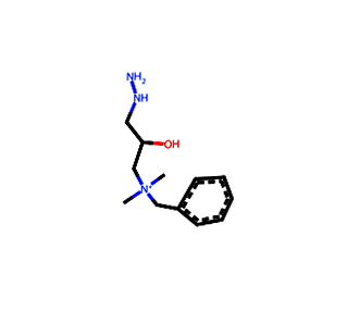 C[N+](C)(Cc1ccccc1)CC(O)CNN